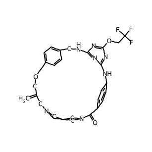 C=C1COc2ccc(cc2)CNc2nc(nc(OCC(F)(F)F)n2)Nc2ccc(cc2)C(=O)N2CC3(CN(C1)C3)C2